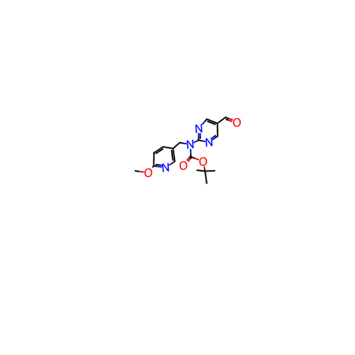 COc1ccc(CN(C(=O)OC(C)(C)C)c2ncc(C=O)cn2)cn1